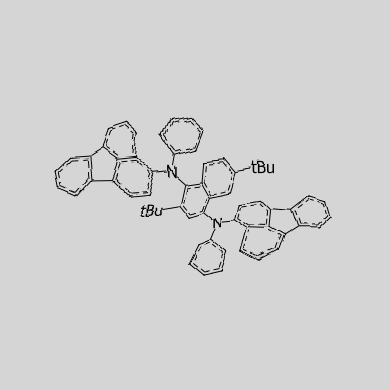 CC(C)(C)c1ccc2c(N(c3ccccc3)c3ccc4c5c(cccc35)-c3ccccc3-4)c(C(C)(C)C)cc(N(c3ccccc3)c3ccc4c5c(cccc35)-c3ccccc3-4)c2c1